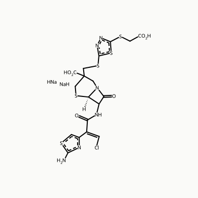 Nc1nc(C(=CCl)C(=O)NC2C(=O)N3CC(CSc4nnc(SCC(=O)O)s4)(C(=O)O)CS[C@H]23)cs1.[NaH].[NaH]